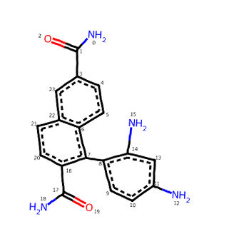 NC(=O)c1ccc2c(-c3ccc(N)cc3N)c(C(N)=O)ccc2c1